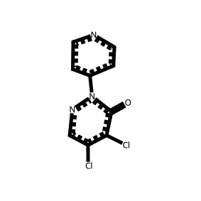 O=c1c(Cl)c(Cl)cnn1-c1ccncc1